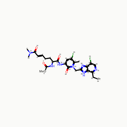 COC(=O)NC(CC/C=C/C(=O)N(C)C)C(=O)Nc1cc(F)c(C)n(Cc2nc3c(F)cnc(CC(C)C)c3[nH]2)c1=O